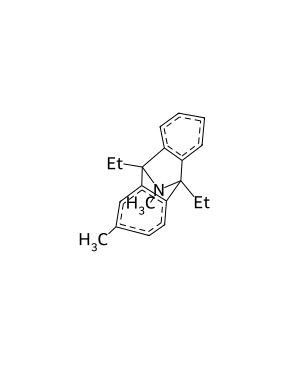 CCC12c3ccccc3C(CC)(c3cc(C)ccc31)N2C